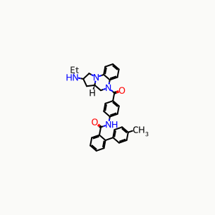 CCNC1C[C@H]2CN(C(=O)c3ccc(NC(=O)c4ccccc4-c4ccc(C)cc4)cc3)c3ccccc3N2C1